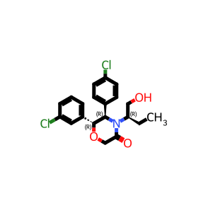 CC[C@H](CO)N1C(=O)CO[C@H](c2cccc(Cl)c2)[C@H]1c1ccc(Cl)cc1